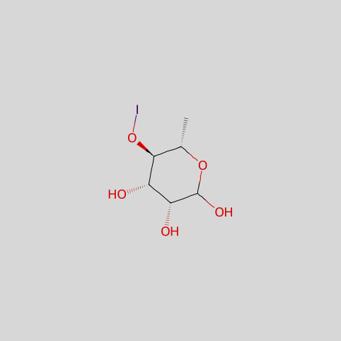 C[C@@H]1OC(O)[C@H](O)[C@H](O)[C@H]1OI